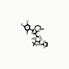 CN1CCCn2c(-c3cc(F)c(F)cc3F)nc(C(=O)NC(C(=O)Nc3nccs3)C(C)(C)C)c2C1